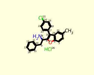 Cc1ccc2oc(C(N)Cc3ccccc3)c(-c3ccc(Cl)cc3)c2c1.Cl